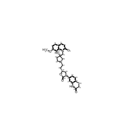 COc1ccc2ccc(=O)n(CC3(O)CCN(CC[C@H]4CN(c5ccc6c(c5)NC(=O)CS6)C(=O)O4)C3)c2c1